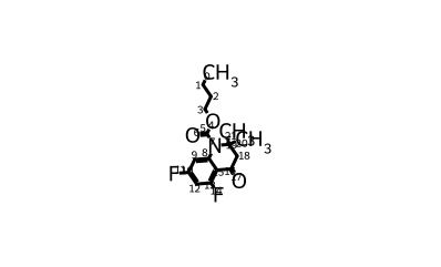 CCCCOC(=O)N1c2cc(F)cc(F)c2C(=O)CC1(C)C